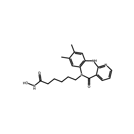 Cc1cc2c(cc1C)N(CCCCCC(=O)NO)C(=O)c1cccnc1N2